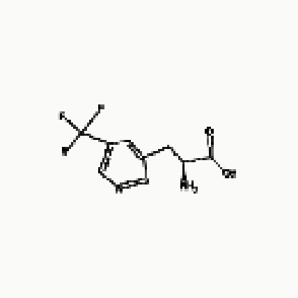 N[C@@H](Cc1cncc(C(F)(F)F)c1)C(=O)O